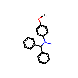 COc1ccc(N(N)C(c2ccccc2)c2ccccc2)cc1